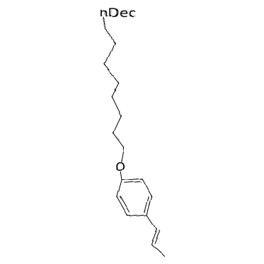 CC=Cc1ccc(OCCCCCCCCCCCCCCCCCC)cc1